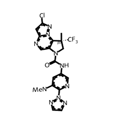 CNc1cc(NC(=O)N2C[C@@](C)(C(F)(F)F)c3c2cnc2cc(Cl)nn32)cnc1-n1nccn1